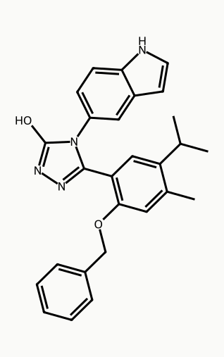 Cc1cc(OCc2ccccc2)c(-c2nnc(O)n2-c2ccc3[nH]ccc3c2)cc1C(C)C